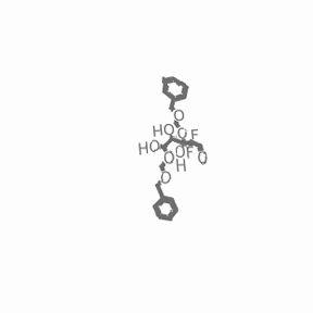 O=CC(F)(F)[C@](O)(OCOCc1ccccc1)[C@H](O)C(O)OCOCc1ccccc1